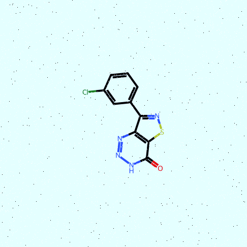 O=c1[nH]nnc2c(-c3cccc(Cl)c3)nsc12